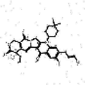 CC[C@@]1(O)C(=O)OCc2c1cc1n(c2=O)Cc2c-1c(=O)c1cc(F)c(CCCO)cc1n2C1CCC(C)(C)CC1